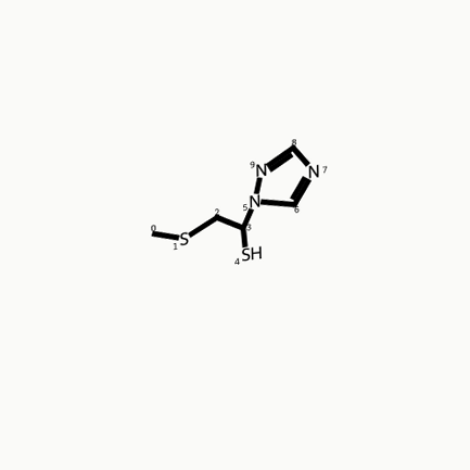 CSCC(S)n1cncn1